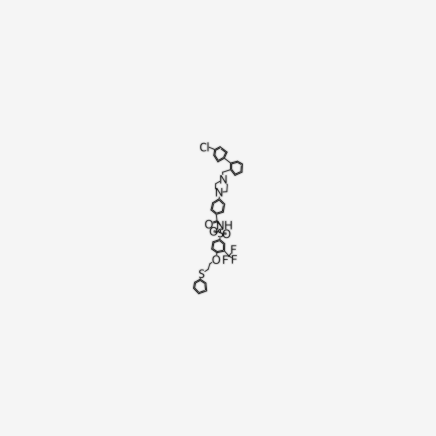 O=C(NS(=O)(=O)c1ccc(OCCSc2ccccc2)c(C(F)(F)F)c1)c1ccc(N2CCN(Cc3ccccc3-c3ccc(Cl)cc3)CC2)cc1